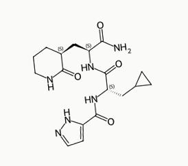 NC(=O)[C@H](C[C@@H]1CCCNC1=O)NC(=O)[C@H](CC1CC1)NC(=O)c1ccn[nH]1